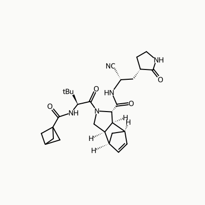 CC(C)(C)[C@H](NC(=O)C12CC(C1)C2)C(=O)N1C[C@H]2[C@@H]([C@H]1C(=O)N[C@H](C#N)C[C@@H]1CCNC1=O)[C@H]1C=C[C@@H]2C1